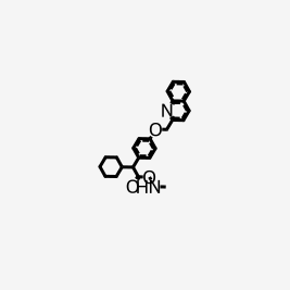 CNOC(=O)C(c1ccc(OCc2ccc3ccccc3n2)cc1)C1CCCCC1